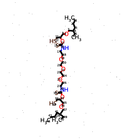 CCCCC(CC)COCC(CS)OC(=S)NCCOCCOCCOCCNC(=S)OC(CS)COCC(CC)CCCC